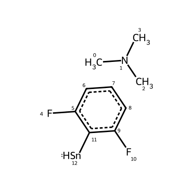 CN(C)C.Fc1cccc(F)[c]1[SnH]